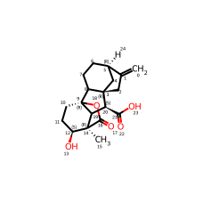 C=C1C[C@]23C[C@H]1CCC2[C@@]12CC[C@H](O)[C@](C)(C(=O)O1)C2[C@@H]3C(=O)O